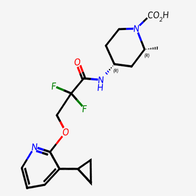 C[C@@H]1C[C@H](NC(=O)C(F)(F)COc2ncccc2C2CC2)CCN1C(=O)O